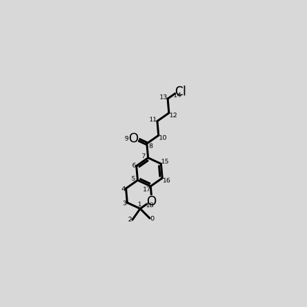 CC1(C)CCc2cc(C(=O)CCCCCl)ccc2O1